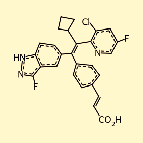 O=C(O)C=Cc1ccc(C(=C(c2ncc(F)cc2Cl)C2CCC2)c2ccc3[nH]nc(F)c3c2)cc1